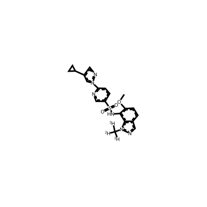 [2H]C([2H])([2H])n1ncc2ccc(OC)c(NS(=O)(=O)c3ccc(-n4cc(C5CC5)cn4)nc3)c21